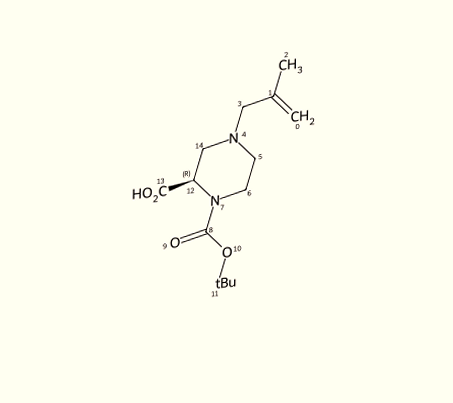 C=C(C)CN1CCN(C(=O)OC(C)(C)C)[C@@H](C(=O)O)C1